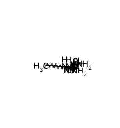 CCCCCCCCCNC(=N)NC(=O)c1nc(Cl)c(N)nc1N